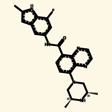 Cc1cc2cc(NC(=O)c3ccc(N4C[C@@H](C)N[C@@H](C)C4)c4nccnc34)cc(F)c2[nH]1